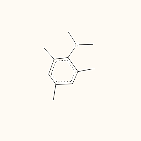 [CH2]c1cc(C)cc(C)c1N(C)C